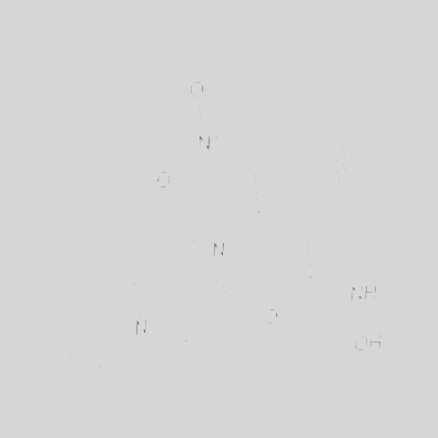 CCN1CCN(c2c(C(=O)NO)cccc2[N+](=O)OC)CC1